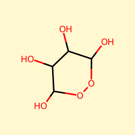 OC1OOC(O)C(O)C1O